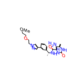 C=C1NC(=O)NC(C(=O)N[C@H](C)c2cccc(-c3cnn(CCOCCOC)c3)c2)=C1N